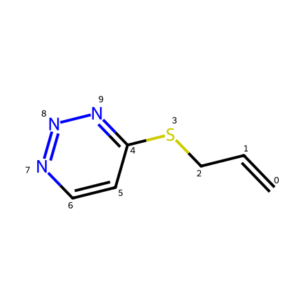 C=CCSc1ccnnn1